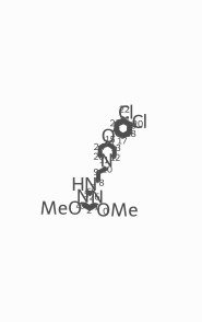 COc1cc(OC)nc(NCCCN2CCC(Oc3ccc(Cl)c(Cl)c3)CC2)n1